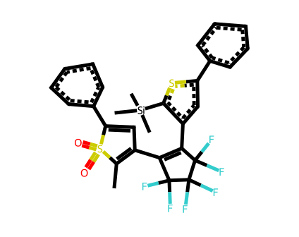 CC1=C(C2=C(c3cc(-c4ccccc4)sc3[Si](C)(C)C)C(F)(F)C(F)(F)C2(F)F)C=C(c2ccccc2)S1(=O)=O